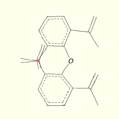 C=C(C)c1cccc(C(=C)C)c1Oc1c(C(=C)C)cccc1C(=C)C